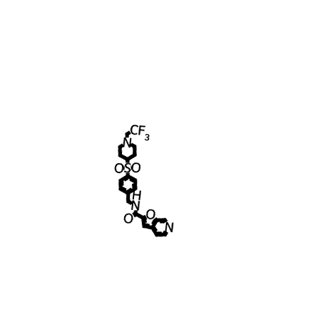 O=C(NCc1ccc(S(=O)(=O)C2CCN(CC(F)(F)F)CC2)cc1)c1cc2ccncc2o1